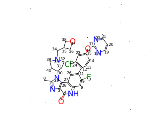 Cc1nc2c(=O)[nH]c3cc(F)c(-c4ccc(Oc5ncccn5)cc4Cl)cc3c2n1C1CCN(CC2COC2)CC1